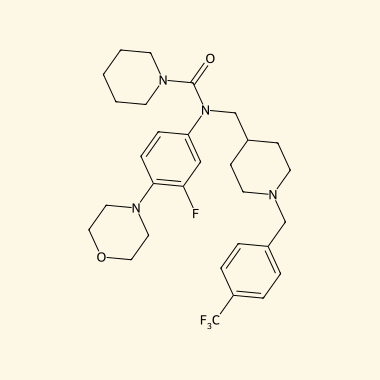 O=C(N1CCCCC1)N(CC1CCN(Cc2ccc(C(F)(F)F)cc2)CC1)c1ccc(N2CCOCC2)c(F)c1